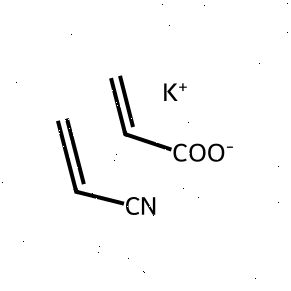 C=CC#N.C=CC(=O)[O-].[K+]